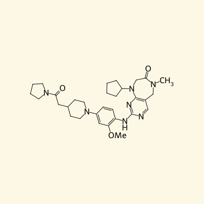 COc1cc(N2CCC(CC(=O)N3CCCC3)CC2)ccc1Nc1ncc2c(n1)N(C1CCCC1)CC(=O)N(C)C2